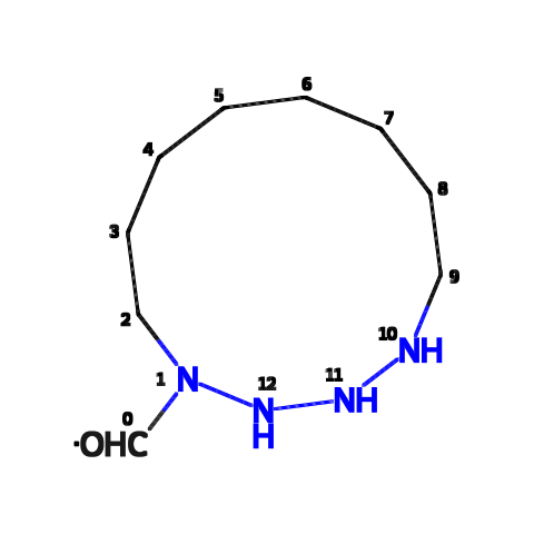 O=[C]N1CCCCCCCCNNN1